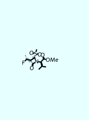 COC(=O)C(=C(C)C)N1C(=O)[C@H]([C@@H](C)F)[C@@H]1S(C)(=O)=O